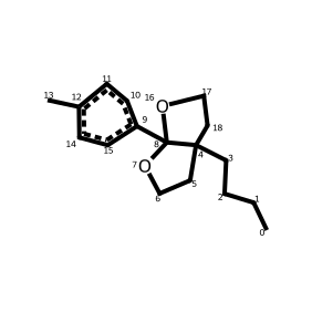 CCCCC12CCOC1(c1ccc(C)cc1)OCC2